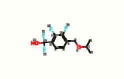 CC(C)OCc1ccc(C(O)(F)F)c(F)c1F